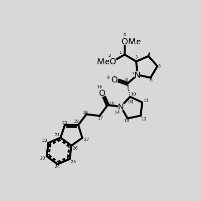 COC(OC)C1CCCN1C(=O)[C@@H]1CCCN1C(=O)CCC1=Cc2ccccc2C1